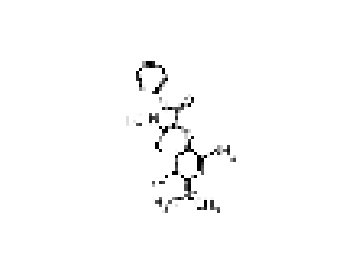 CC1=CC(=Nc2c(C)n(C)n(-c3ccccc3)c2=O)C(N)=CC1=[N+](C)C